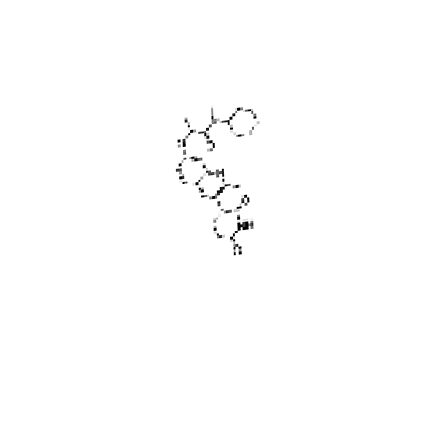 Cc1nc2cc(OC(C)C(=O)NC3CCCCC3)ccc2cc1C1CCC(=O)NC1=O